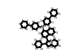 c1ccc(-c2ccc(N(c3ccc(-c4ccccc4)cc3)c3ccc(-c4c(-c5ccccc5)cc5ccccn45)c4ccccc34)cc2)cc1